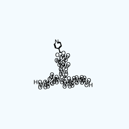 O=C([O][Mo](=[O])(=[O])[O][Mo](=[O])(=[O])[O][Mo](=[O])(=[O])[O][Mo](=[O])(=[O])[O]P(=O)([O][Mo](=[O])(=[O])[O][Mo](=[O])(=[O])[O][Mo](=[O])(=[O])[O][Mo](=[O])(=[O])[OH])[O][Mo](=[O])(=[O])[O][Mo](=[O])(=[O])[O][Mo](=[O])(=[O])[O][Mo](=[O])(=[O])[OH])c1ccncc1